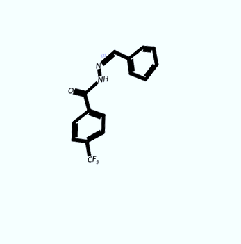 O=C(N/N=C\c1ccccc1)c1ccc(C(F)(F)F)cc1